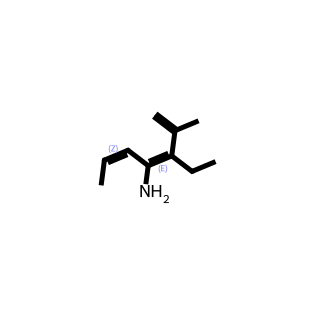 C=C(C)/C(CC)=C(N)\C=C/C